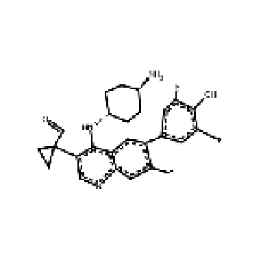 N[C@H]1CC[C@H](Nc2c(C3(C=O)CC3)cnc3cc(F)c(-c4cc(F)c(O)c(F)c4)cc23)CC1